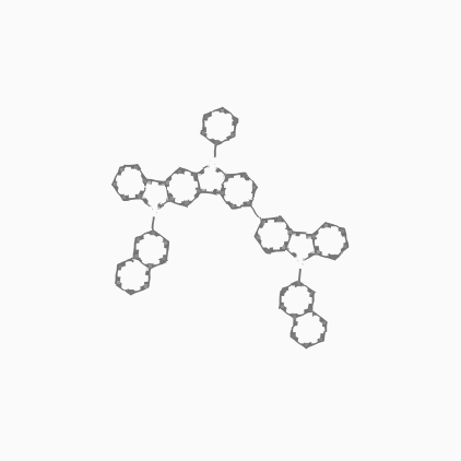 c1ccc(-n2c3ccc(-c4ccc5c(c4)c4ccccc4n5-c4ccc5ccccc5c4)cc3c3cc4c(cc32)c2ccccc2n4-c2ccc3ccccc3c2)cc1